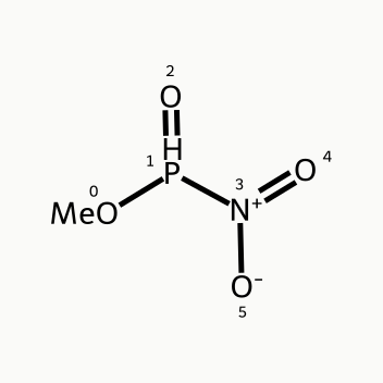 CO[PH](=O)[N+](=O)[O-]